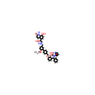 COc1ccc(CNC[C@H](O)c2ccc(O)c3[nH]c(=O)ccc23)cc1-c1ccc(COc2cccc([C@H](c3ccccc3)N(C(=O)O)[C@H]3CN4CCC3CC4)c2)cc1